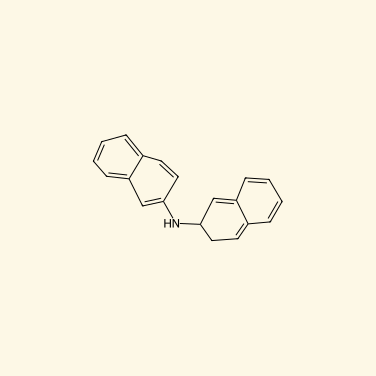 C1=c2ccccc2=CC(Nc2ccc3ccccc3c2)C1